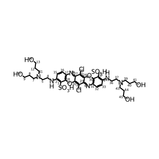 O=S(=O)(O)c1c(NCCN(CCCO)CCCO)ccc2c1Oc1c(Cl)c3c(c(Cl)c1=N2)Oc1c(ccc(NCCN(CCCO)CCCO)c1S(=O)(=O)O)N=3